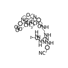 CC1(C)C2=C3C=C4C5=[N+](CCC4OC3CCN2c2ccc(CC(=O)NCCCNc3cc(Nc4cc(C6CC6)[nH]n4)nc(Nc4ccc(CC#N)cc4)n3)cc21)c1ccc(S(=O)(=O)[O-])cc1C5(C)C